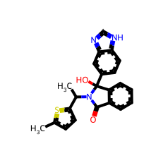 Cc1ccc(C(C)N2C(=O)c3ccccc3C2(O)c2ccc3[nH][c]nc3c2)s1